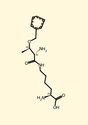 C[C@@H](OCc1ccccc1)[C@H](N)C(=O)NCCCC[C@H](N)C(=O)O